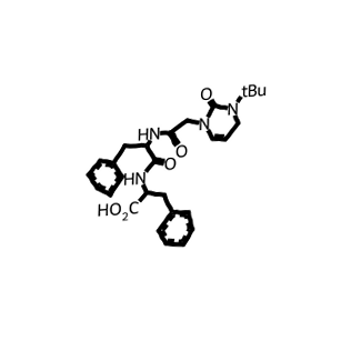 CC(C)(C)N1CC=CN(CC(=O)NC(Cc2ccccc2)C(=O)NC(Cc2ccccc2)C(=O)O)C1=O